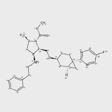 COC(=O)N1[C@H](C)C[C@H](NCCc2ccccc2)[C@@H]1CO[C@H]1CC[C@@]2(c3ncc(F)cn3)C[C@H]2C1